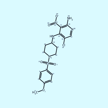 COc1ccc(S(=O)(=O)N2CCC(Nc3c(Cl)cnc(N)c3[N+](=O)[O-])CC2)cc1